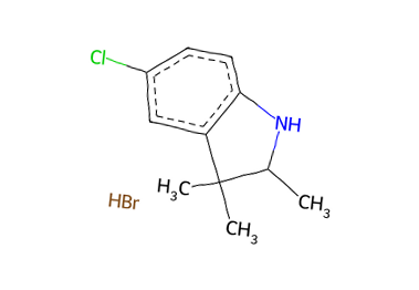 Br.CC1Nc2ccc(Cl)cc2C1(C)C